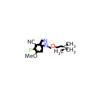 COc1cc2c(cnn2COCC[Si](C)(C)C)c(C#N)c1F